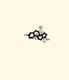 CO[C@H]1CC2C=C(O)C=C[C@]2(C)[C@H]2CC[C@]3(C)[C@@H](O)CC[C@H]3[C@H]12